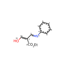 CCOC(=O)/C(C=Nc1ccccc1)=C\O